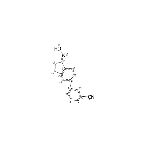 N#Cc1cccc(-c2ccc3c(c2)CCC3=NO)c1